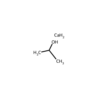 CC(C)O.[CaH2]